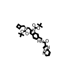 CC(C)(C)OC(=O)N(Cc1cc2ccc(CNC(=O)c3cn4ncccc4n3)cc2n1C(=O)OC(C)(C)C)CC1CCC1